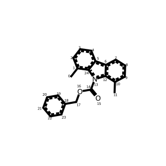 Cc1cccc2c3cccc(C)c3n(C(=O)OCc3ccccc3)c12